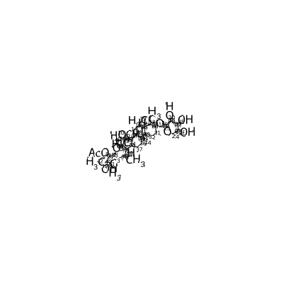 CC(=O)O[C@@H]([C@H]1C[C@@H](C)[C@H]2[C@@H](O1)[C@H](O)[C@@]1(C)[C@@H]3CC[C@H]4C(C)(C)[C@@H](O[C@@H]5OC[C@@H](O)[C@H](O)[C@H]5O)CC[C@@]45C[C@@]35CC[C@]21C)C(C)(C)O